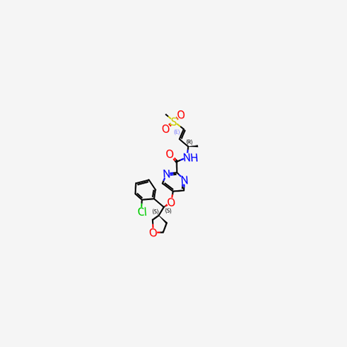 C[C@H](/C=C/S(C)(=O)=O)NC(=O)c1ncc(O[C@H](c2ccccc2Cl)[C@H]2CCOC2)cn1